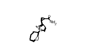 NC(=O)C1CC1c1ccn(C2CCCCO2)n1